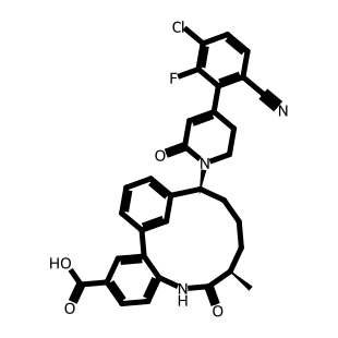 C[C@@H]1CCC[C@H](N2CCC(c3c(C#N)ccc(Cl)c3F)=CC2=O)c2cccc(c2)-c2cc(C(=O)O)ccc2NC1=O